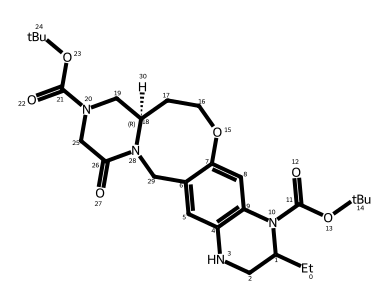 CCC1CNc2cc3c(cc2N1C(=O)OC(C)(C)C)OCC[C@@H]1CN(C(=O)OC(C)(C)C)CC(=O)N1C3